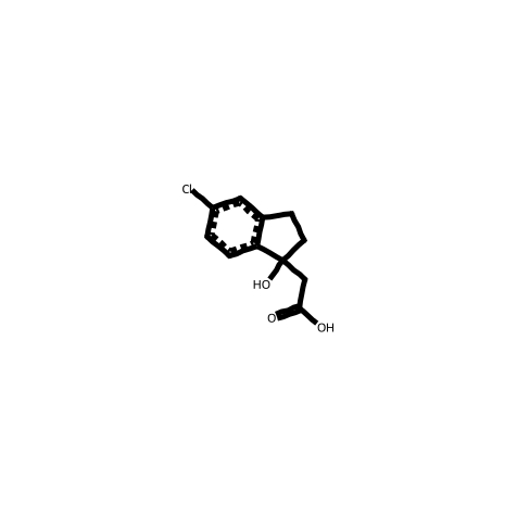 O=C(O)CC1(O)CCc2cc(Cl)ccc21